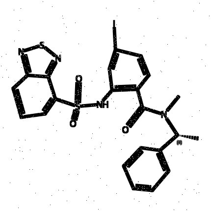 C[C@H](c1ccccc1)N(C)C(=O)c1ccc(I)cc1NS(=O)(=O)c1cccc2nsnc12